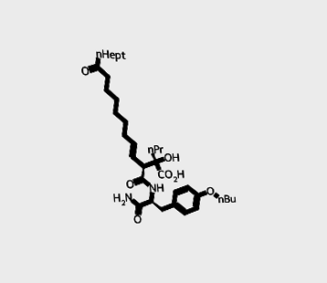 CCCCCCCC(=O)CCCCCC/C=C/[C@H](C(=O)N[C@@H](Cc1ccc(OCCCC)cc1)C(N)=O)[C@@](O)(CCC)C(=O)O